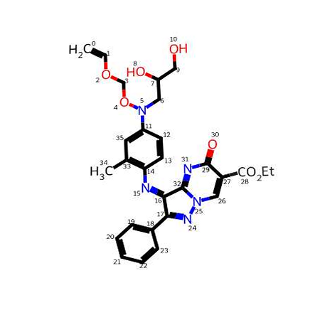 C=COCON(CC(O)CO)c1ccc(/N=C2/C(c3ccccc3)=Nn3cc(C(=O)OCC)c(=O)nc32)c(C)c1